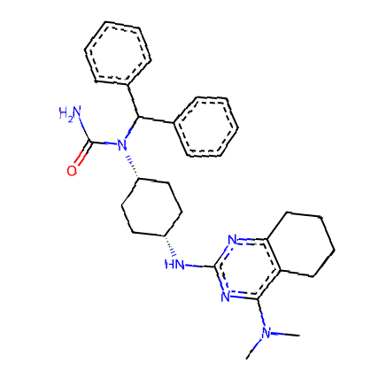 CN(C)c1nc(N[C@H]2CC[C@@H](N(C(N)=O)C(c3ccccc3)c3ccccc3)CC2)nc2c1CCCC2